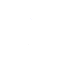 CONCc1c(F)cc(F)cc1F